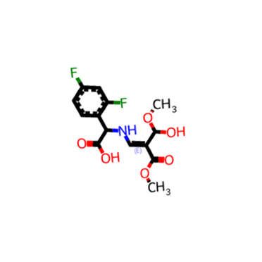 COC(=O)/C(=C/NC(C(=O)O)c1ccc(F)cc1F)C(O)OC